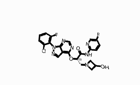 O=C(Nc1ccc(F)cn1)[C@H](CN1CC(O)C1)Oc1ncnc2c1cnn2-c1c(F)cccc1Cl